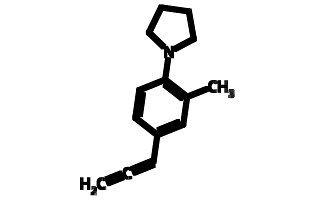 C=C=Cc1ccc(N2CCCC2)c(C)c1